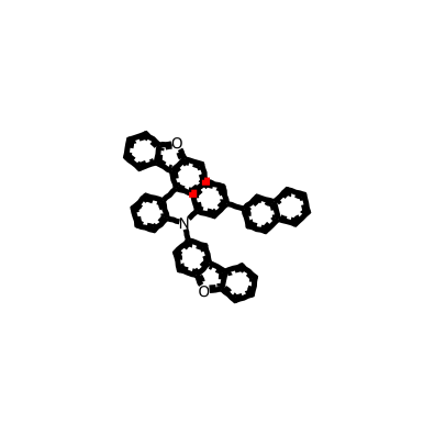 c1cc(-c2ccc3ccccc3c2)cc(N(c2ccc3oc4ccccc4c3c2)c2ccccc2-c2cccc3oc4ccccc4c23)c1